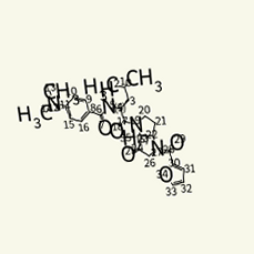 CC(C)C[C@H](NC(=O)c1ccc(N(C)C)cc1)C(=O)N1CCC2[C@H]1C(=O)CN2C(=O)c1ccco1